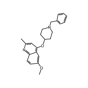 COc1ccc2nc(C)cc(OC3CCN(Cc4ccccc4)CC3)c2c1